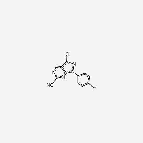 N#Cc1ncc2c(Cl)nn(-c3ccc(F)cc3)c2n1